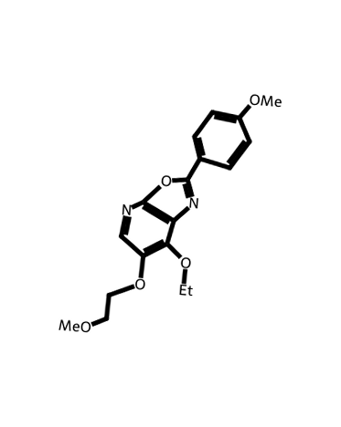 CCOc1c(OCCOC)cnc2oc(-c3ccc(OC)cc3)nc12